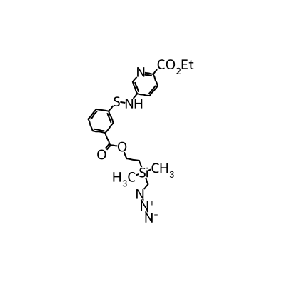 CCOC(=O)c1ccc(NSc2cccc(C(=O)OCC[Si](C)(C)CN=[N+]=[N-])c2)cn1